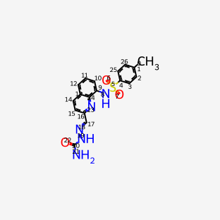 Cc1ccc(S(=O)(=O)Nc2cccc3ccc(/C=N/NC(N)=O)nc23)cc1